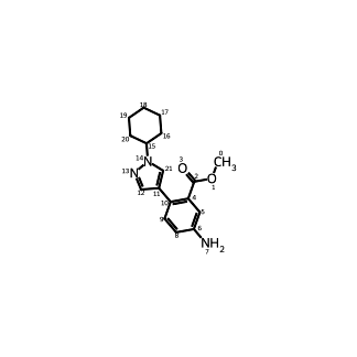 COC(=O)c1cc(N)ccc1-c1cnn(C2CCCCC2)c1